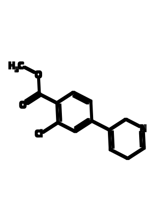 COC(=O)c1ccc(C2=CCC=NC2)cc1Cl